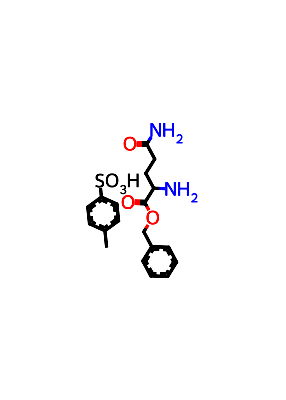 Cc1ccc(S(=O)(=O)O)cc1.NC(=O)CCC(N)C(=O)OCc1ccccc1